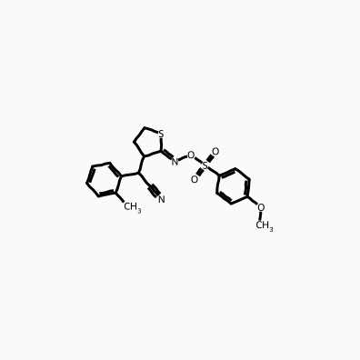 COc1ccc(S(=O)(=O)O/N=C2\SCCC2C(C#N)c2ccccc2C)cc1